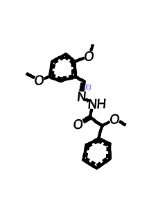 COc1ccc(OC)c(/C=N/NC(=O)C(OC)c2ccccc2)c1